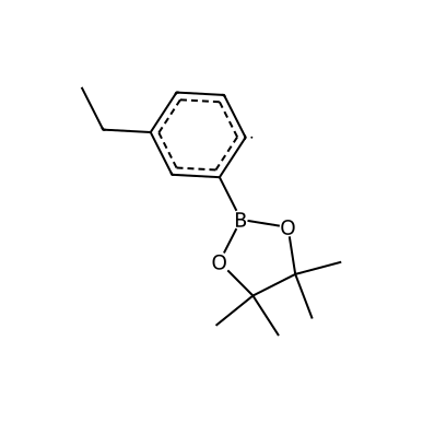 CCc1cc[c]c(B2OC(C)(C)C(C)(C)O2)c1